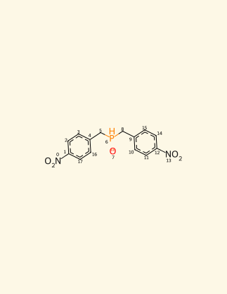 O=[N+]([O-])c1ccc(C[PH](=O)Cc2ccc([N+](=O)[O-])cc2)cc1